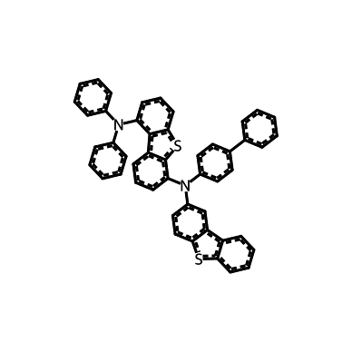 c1ccc(-c2ccc(N(c3ccc4sc5ccccc5c4c3)c3cccc4c3sc3cccc(N(c5ccccc5)c5ccccc5)c34)cc2)cc1